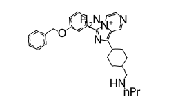 CCCNCC1CCC(C2=C3C=NC=C[N+]3(N)C(c3cccc(OCc4ccccc4)c3)=N2)CC1